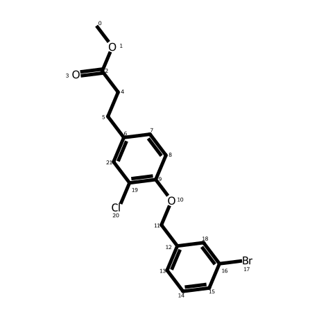 COC(=O)CCc1ccc(OCc2cccc(Br)c2)c(Cl)c1